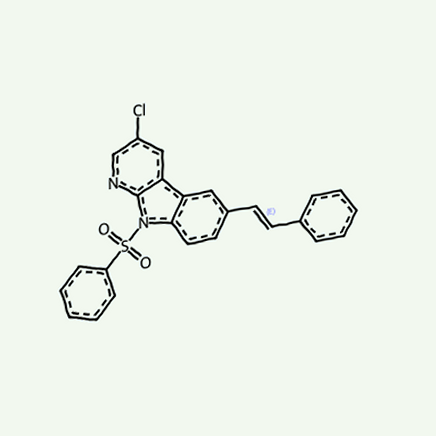 O=S(=O)(c1ccccc1)n1c2ccc(/C=C/c3ccccc3)cc2c2cc(Cl)cnc21